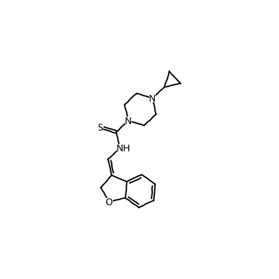 S=C(N/C=C1/COc2ccccc21)N1CCN(C2CC2)CC1